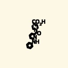 O=C(O)N1CCN(C(=O)c2cccc(Nc3ccccc3)n2)CC1